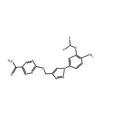 CC(=O)c1cnc(OCc2cn(-c3ccc(C)c(OC(F)F)c3)nn2)nc1